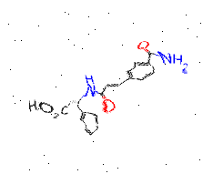 NC(=O)c1ccc(/C=C/C(=O)N[C@@H](CC(=O)O)c2ccccc2)cc1